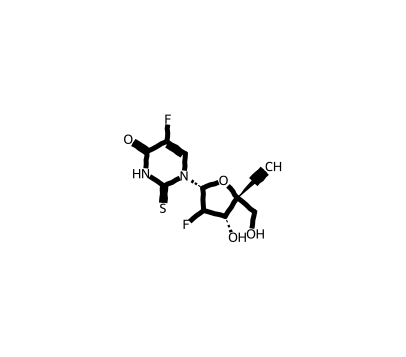 C#C[C@]1(CO)O[C@@H](n2cc(F)c(=O)[nH]c2=S)C(F)[C@H]1O